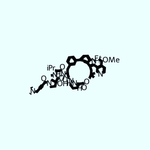 CCn1c(-c2cnccc2[C@H](C)OC)c2c3cc(ccc31)-c1cccc(c1)C[C@H](NC(=O)[C@H](C(C)C)N(C)C(=O)C1(O)CCN(C(=O)C#CCN(C)C)C1)C(=O)N1CCC[C@H](N1)C(=O)OCC(C)(C)C2